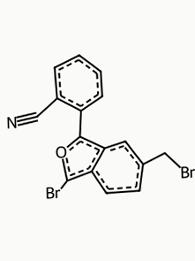 N#Cc1ccccc1-c1oc(Br)c2ccc(CBr)cc12